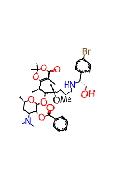 CO[C@](C)(C[C@@H](C)CN[C@@H](CO)c1ccc(Br)cc1)[C@H](O[C@@H]1O[C@H](C)C[C@H](N(C)C)[C@H]1OC(=O)c1ccccc1)[C@@H](C)C1=C(C)C(=O)OC(C)(C)O1